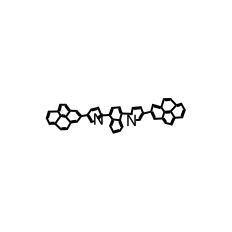 c1cc2ccc3cc(-c4ccc(-c5ccc(-c6ccc(-c7cc8ccc9cccc%10ccc(c7)c8c9%10)cn6)c6ccccc56)nc4)cc4ccc(c1)c2c34